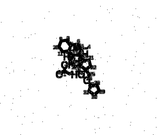 CC(=O)O.C[C@@H]1CC2=CCCC[C@]2(C=O)[C@H]2CC[C@@]3(C)[C@@H](CC[C@@]3(O)COC3=CCCC3)[C@H]12